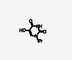 CC(C)n1cc(O)c(=O)[nH]c1=O